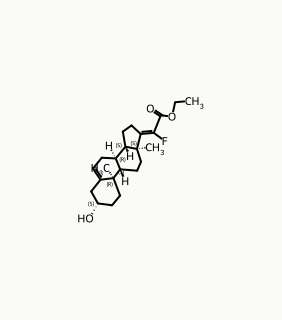 CCOC(=O)C(F)=C1CC[C@H]2[C@@H]3CC=C4C[C@@H](O)CC[C@]4(C)[C@H]3CC[C@]12C